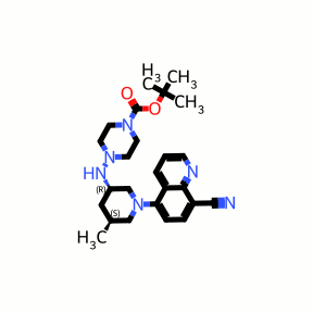 C[C@H]1C[C@@H](NN2CCN(C(=O)OC(C)(C)C)CC2)CN(c2ccc(C#N)c3ncccc23)C1